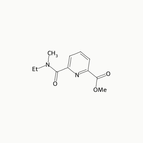 CCN(C)C(=O)c1cccc(C(=O)OC)n1